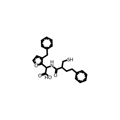 O=C(NC(C(=O)O)c1occc1Cc1ccccc1)C(CS)CCc1ccccc1